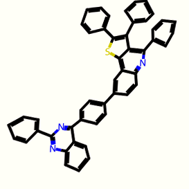 c1ccc(-c2nc(-c3ccc(-c4ccc5nc(-c6ccccc6)c6c(-c7ccccc7)c(-c7ccccc7)sc6c5c4)cc3)c3ccccc3n2)cc1